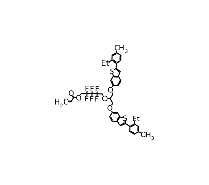 C=CC(=O)OCC(F)(F)C(F)(F)C(F)(F)COC(COc1ccc2cc(-c3ccc(C)cc3CC)sc2c1)COc1ccc2cc(-c3ccc(C)cc3CC)sc2c1